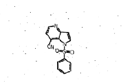 N#Cc1ccnc2ccn(S(=O)(=O)c3ccccc3)c12